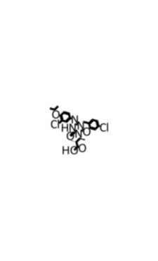 CC(C)Oc1ccc(/N=c2\[nH]c(=O)n([C@@H](C)[C@@H](C)C(=O)O)c(=O)n2Cc2ccc(Cl)cc2)cc1Cl